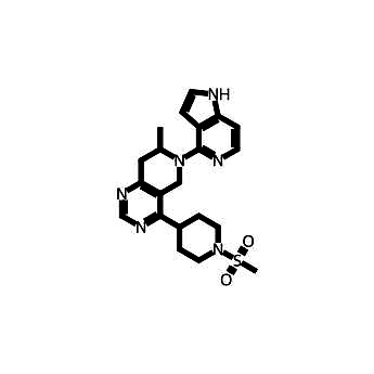 CC1Cc2ncnc(C3CCN(S(C)(=O)=O)CC3)c2CN1c1nccc2[nH]ccc12